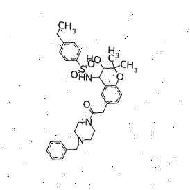 CCc1ccc(S(=O)(=O)NC2c3cc(CC(=O)N4CCN(Cc5ccccc5)CC4)ccc3OC(C)(C)C2O)cc1